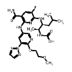 COCCOc1ncc(Nc2nc(N[C@@H](CC(C)C)[C@H](C)NC(=O)O)c(F)cc2C(N)=O)cc1-n1nccn1